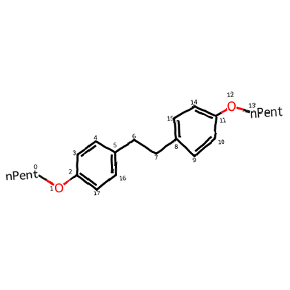 CCCCCOc1ccc(CCc2ccc(OCCCCC)cc2)cc1